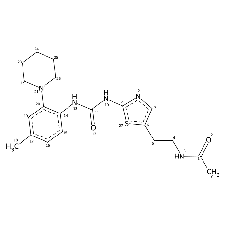 CC(=O)NCCc1cnc(NC(=O)Nc2ccc(C)cc2N2CCCCC2)s1